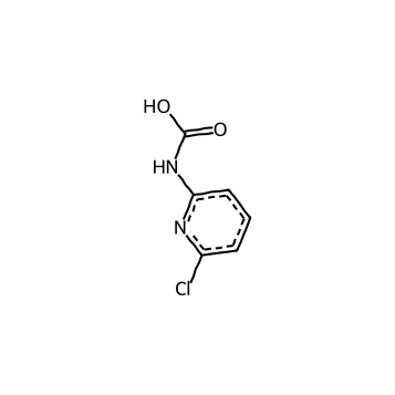 O=C(O)Nc1cccc(Cl)n1